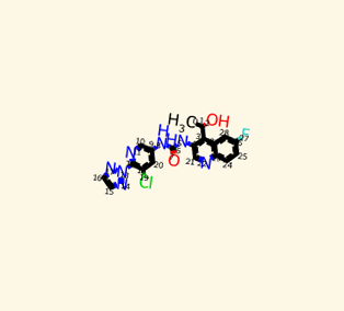 CC(O)c1c(NC(=O)Nc2cnc(-n3nccn3)c(Cl)c2)cnc2ccc(F)cc12